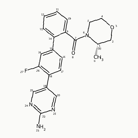 C[C@H]1COCCN1C(=O)c1ccccc1-c1ccc(-c2cnc(N)nc2)c(F)c1